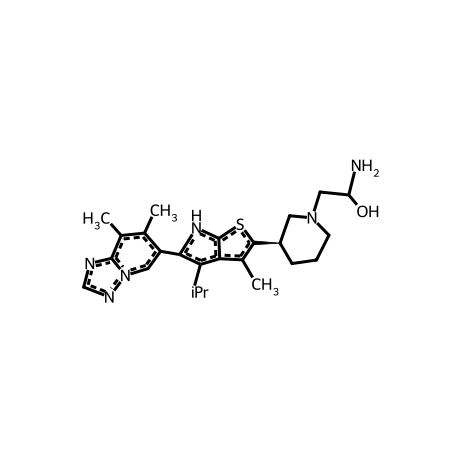 Cc1c(-c2[nH]c3sc([C@@H]4CCCN(CC(N)O)C4)c(C)c3c2C(C)C)cn2ncnc2c1C